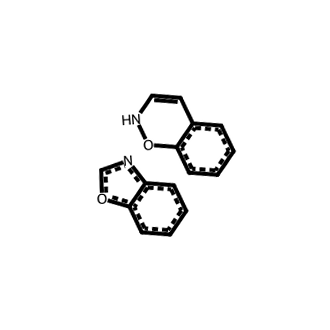 C1=Cc2ccccc2ON1.c1ccc2ocnc2c1